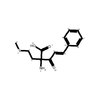 CSCCC(N)(C(=O)O)C(=O)C=Cc1ccccc1